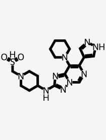 O=[SH](=O)CN1CCC(Nc2nc3c(N4CCCCC4)c(-c4cn[nH]c4)ncn3n2)CC1